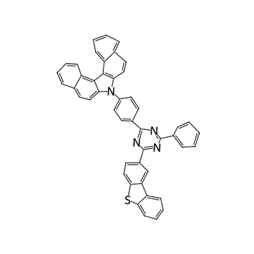 c1ccc(-c2nc(-c3ccc(-n4c5ccc6ccccc6c5c5c6ccccc6ccc54)cc3)nc(-c3ccc4sc5ccccc5c4c3)n2)cc1